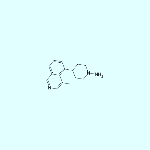 Cc1cncc2cccc(C3CCN(N)CC3)c12